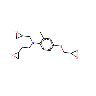 Cc1cc(OCC2CO2)ccc1N(CCC1CO1)CC1CO1